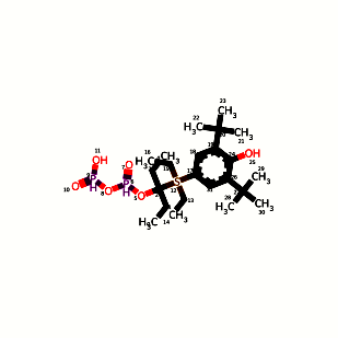 CCC(CC)(O[PH](=O)O[PH](=O)O)S(CC)(CC)c1cc(C(C)(C)C)c(O)c(C(C)(C)C)c1